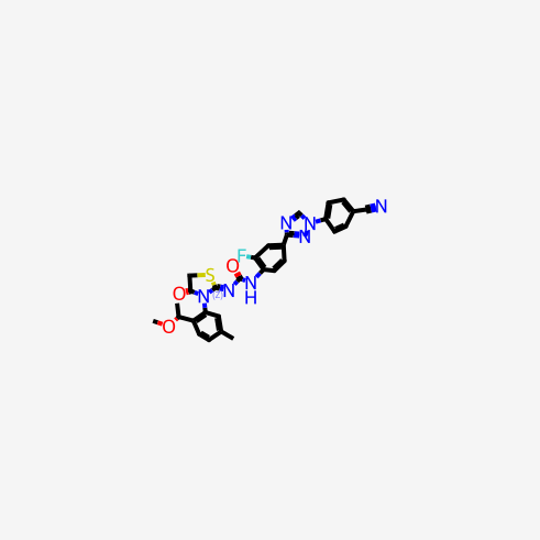 COC(C)c1ccc(C)cc1N1C(=O)CS/C1=N\C(=O)Nc1ccc(-c2ncn(-c3ccc(C#N)cc3)n2)cc1F